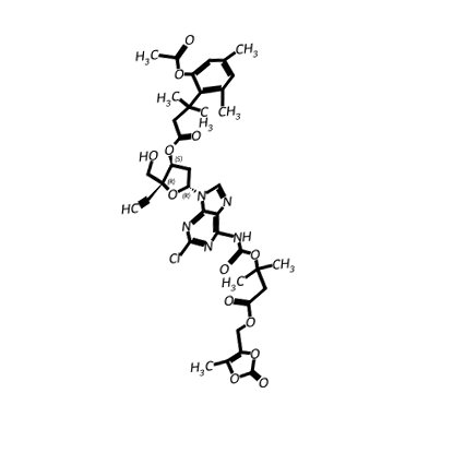 C#C[C@]1(CO)O[C@@H](n2cnc3c(NC(=O)OC(C)(C)CC(=O)OCc4oc(=O)oc4C)nc(Cl)nc32)C[C@@H]1OC(=O)CC(C)(C)c1c(C)cc(C)cc1OC(C)=O